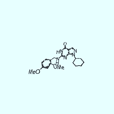 COc1ccc(CNc2nc3c(cnn3C3CCCCC3)c(=O)[nH]2)c(OC)c1